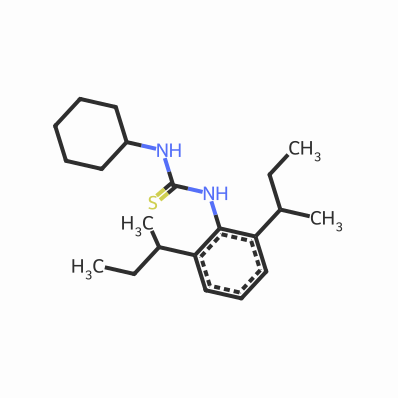 CCC(C)c1cccc(C(C)CC)c1NC(=S)NC1CCCCC1